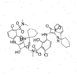 CN(C)S(=O)(=O)c1c(Cl)ccc(NC2=C(NC3(C#CCN(C)S(=O)(=O)c4c(Cl)ccc(Nc5c(NC6(c7ccccc7)CCCCC6)c(=O)c5=O)c4O)CCCCC3)C(=O)C2O)c1O